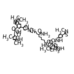 Cc1cc(C)c(CNC(=O)c2cc(-c3ccc(N4CCN(CCC(CCCCCC(=O)N[C@H](C(=O)N5C[C@H](O)C[C@H]5C(=O)NCc5ccc(-c6scnc6C)cc5)C(C)(C)C)C(N)=O)CC4)nc3)cc3c2cnn3C(C)C)c(=O)[nH]1